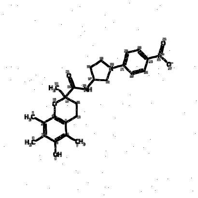 Cc1c(C)c2c(c(C)c1O)CCC(C)(C(=O)NC1CCN(c3ccc([N+](=O)[O-])cc3)C1)O2